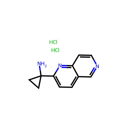 Cl.Cl.NC1(c2ccc3cnccc3n2)CC1